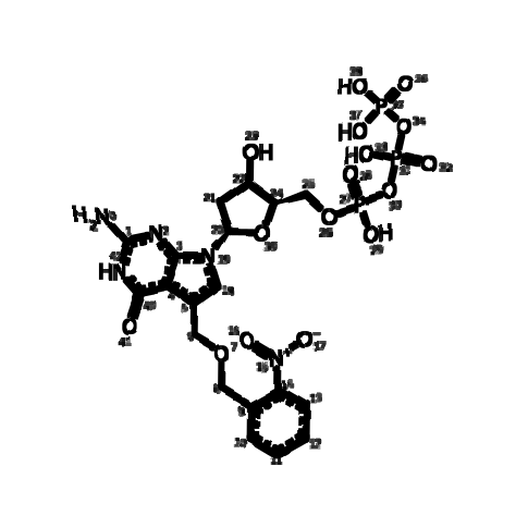 Nc1nc2c(c(COCc3ccccc3[N+](=O)[O-])cn2[C@H]2CC(O)[C@@H](COP(=O)(O)OP(=O)(O)OP(=O)(O)O)O2)c(=O)[nH]1